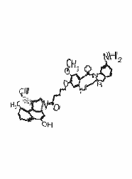 COc1cc2c(cc1OCCCCC(=O)N1C[C@@H](CCl)c3c1cc(O)c1cccc(C)c31)N=C[C@@H]1Cc3ccc(N)cc3N1C2=O